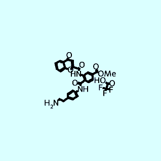 COC(=O)c1ccc(C(=O)Nc2ccc(CCN)cc2)c(NC(=O)c2cc(=O)c3ccccc3o2)c1.O=C(O)C(F)(F)F